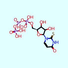 O=c1ccn([C@H]2O[C@@H](COP(=O)(O)OP(=O)(O)OP(=O)(O)O)C(O)C2O)c(=S)[nH]1